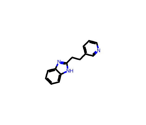 c1cncc(CCc2nc3ccccc3[nH]2)c1